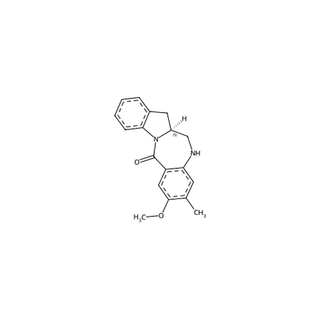 COc1cc2c(cc1C)NC[C@@H]1Cc3ccccc3N1C2=O